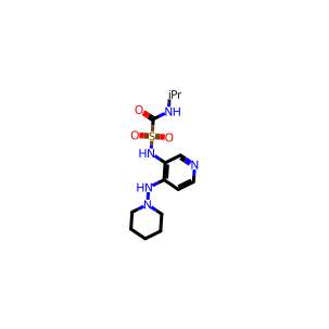 CC(C)NC(=O)S(=O)(=O)Nc1cnccc1NN1CCCCC1